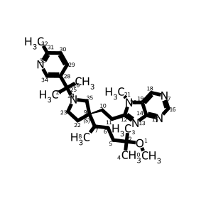 COC(C)(C)CCC(C)[C@]1(CCc2nc3ncncc3n2C)CCN(C(C)(C)c2ccc(C)nc2)C1